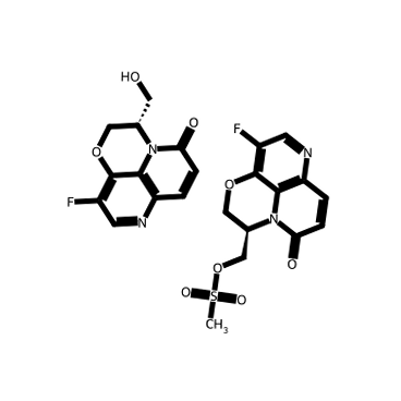 CS(=O)(=O)OC[C@H]1COc2c(F)cnc3ccc(=O)n1c23.O=c1ccc2ncc(F)c3c2n1[C@@H](CO)CO3